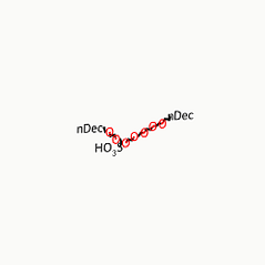 CCCCCCCCCCCCOCCOCCOCCOCCOC(COCCOCCCCCCCCCCCC)S(=O)(=O)O